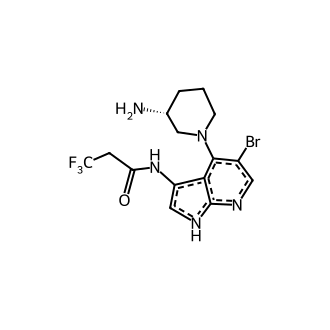 N[C@@H]1CCCN(c2c(Br)cnc3[nH]cc(NC(=O)CC(F)(F)F)c23)C1